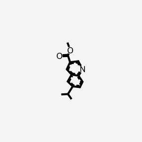 COC(=O)c1cnc2ccc(C(C)C)cc2c1